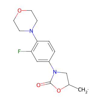 [CH2]C1CN(c2ccc(N3CCOCC3)c(F)c2)C(=O)O1